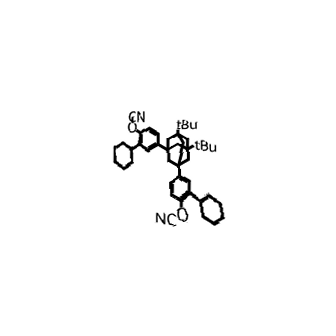 CC(C)(C)C12CC3(c4ccc(OC#N)c(C5CCCCC5)c4)CC(c4ccc(OC#N)c(C5CCCCC5)c4)(C1)CC(C(C)(C)C)(C3)C2